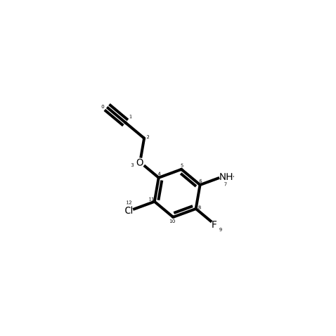 C#CCOc1cc([NH])c(F)cc1Cl